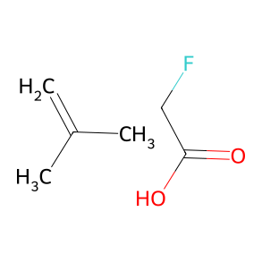 C=C(C)C.O=C(O)CF